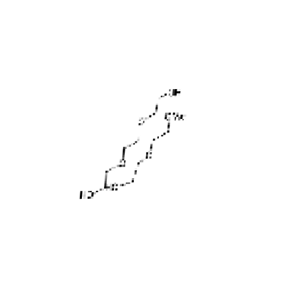 COCCOCCO.OCCOCCOCCO